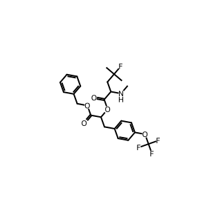 CNC(CC(C)(C)F)C(=O)OC(Cc1ccc(OC(F)(F)F)cc1)C(=O)OCc1ccccc1